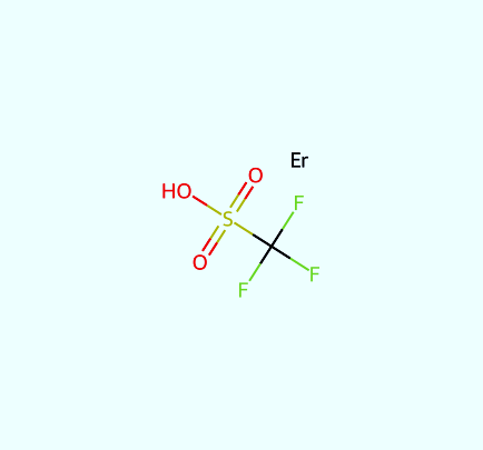 O=S(=O)(O)C(F)(F)F.[Er]